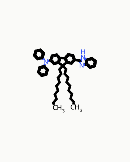 CCCCCCCCCCC1(CCCCCCCCCC)c2cc(-c3nc4ccccc4[nH]3)ccc2-c2ccc(N(c3ccccc3)c3ccccc3)cc21